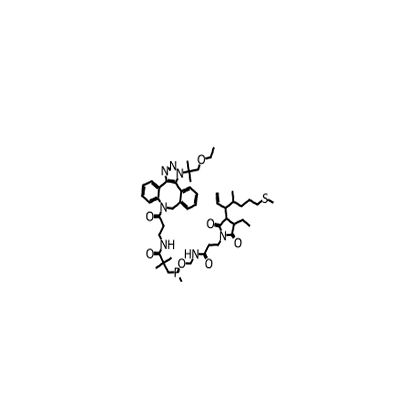 C=CC(C(C)CCCSC)C1C(=O)N(CCC(=O)NCOP(C)CC(C)(C)C(=O)NCCC(=O)N2Cc3ccccc3-c3c(nnn3C(C)(C)COCC)-c3ccccc32)C(=O)C1CC